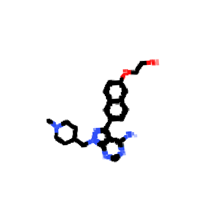 CN1CCC(Cn2nc(-c3ccc4cc(OCCO)ccc4c3)c3c(N)ncnc32)CC1